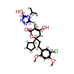 COc1cc(OC)c(CCC2(C3CCCC3)CC(O)=C(Sc3nnc(O)n3C(C)C)C(=O)O2)cc1Cl